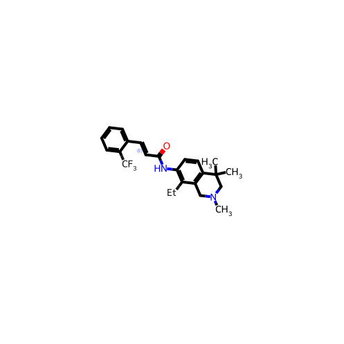 CCc1c(NC(=O)/C=C/c2ccccc2C(F)(F)F)ccc2c1CN(C)CC2(C)C